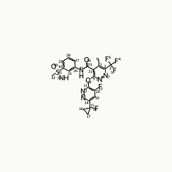 Cc1c(C(F)(F)F)nnc(Oc2nnc(C3(F)CC3)cc2F)c1C(=O)Nc1cccc(S(C)(=N)=O)c1